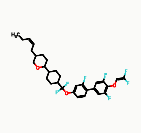 CC/C=C\CC1CCC(C2CCC(C(F)(F)Oc3ccc(-c4cc(F)c(OC=C(F)F)c(F)c4)c(F)c3)CC2)OC1